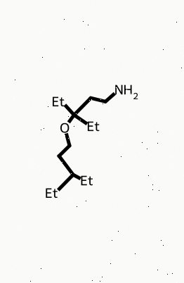 CCC(CC)CCOC(CC)(CC)CCN